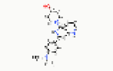 CN(C)c1ccc(-c2cc3ncccc3c(N3CCC(O)CC3)n2)cc1